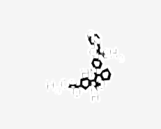 CCOC(=O)c1ccc2c(c1)NC(=O)C2=C(Nc1ccc(N(C)C(=O)CN2CCOCC2)cc1)c1ccccc1